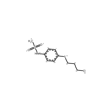 CS(=O)(=O)Nc1ccc(SCCCCl)cc1